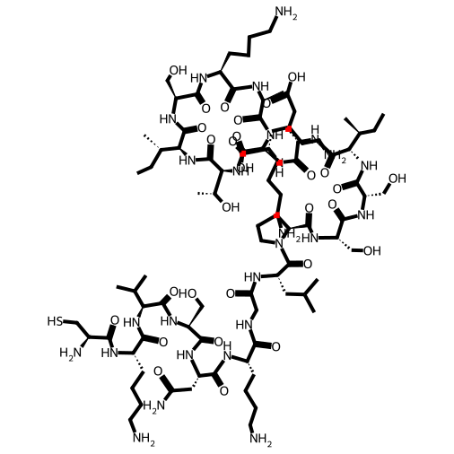 CC[C@H](C)[C@H](NC(=O)[C@H](CO)NC(=O)[C@H](CO)NC(=O)[C@@H]1CCCN1C(=O)[C@H](CC(C)C)NC(=O)CNC(=O)[C@H](CCCCN)NC(=O)[C@H](CC(N)=O)NC(=O)[C@H](CO)NC(=O)[C@@H](NC(=O)[C@H](CCCCN)NC(=O)[C@@H](N)CS)C(C)C)C(=O)N[C@@H](CCC(=O)O)C(=O)N[C@@H](CCCCN)C(=O)N[C@H](C(=O)N[C@H](C(=O)N[C@@H](CO)C(=O)N[C@@H](CCCCN)C(=O)N[C@@H](C)C(=O)N[C@@H](CCCCN)C(=O)O)[C@@H](C)CC)[C@@H](C)O